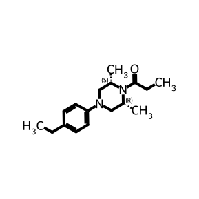 CCC(=O)N1[C@H](C)CN(c2ccc(CC)cc2)C[C@@H]1C